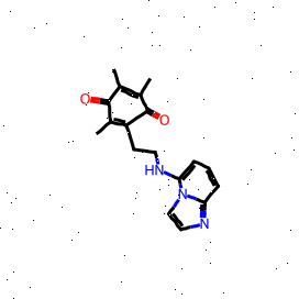 CC1=C(C)C(=O)C(CCNc2cccc3nccn23)=C(C)C1=O